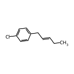 CCC=CCc1ccc(Cl)cc1